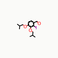 CC(C)COc1ccc(C=O)c(I)c1OCC(C)C